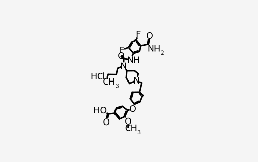 CCCCN(C(=O)Nc1cc(C(N)=O)c(F)cc1F)C1CCN(Cc2ccc(Oc3ccc(C(=O)O)cc3OC)cc2)CC1.Cl